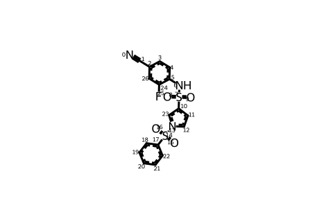 N#Cc1ccc(NS(=O)(=O)c2ccn(S(=O)(=O)c3ccccc3)c2)c(F)c1